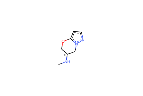 CN[C@H]1COc2ccnn2C1